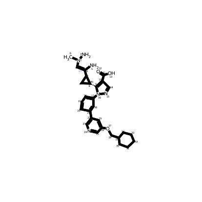 CN(N)/C=C(\N)C1C[C@H]1c1c(C(=O)O)cnn1-c1cccc(-c2cncc(OCC3CCCCC3)c2)c1